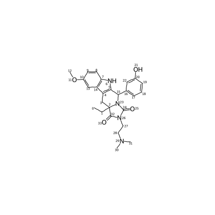 CCC12Cc3c([nH]c4ccc(OC)cc34)C(c3cccc(O)c3)N1C(=O)N(CCN(C)C)C2=O